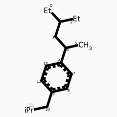 CCC(CC)CC(C)c1ccc(CC(C)C)cc1